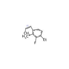 C/C=C\c1ccc(CC)c(F)c1C